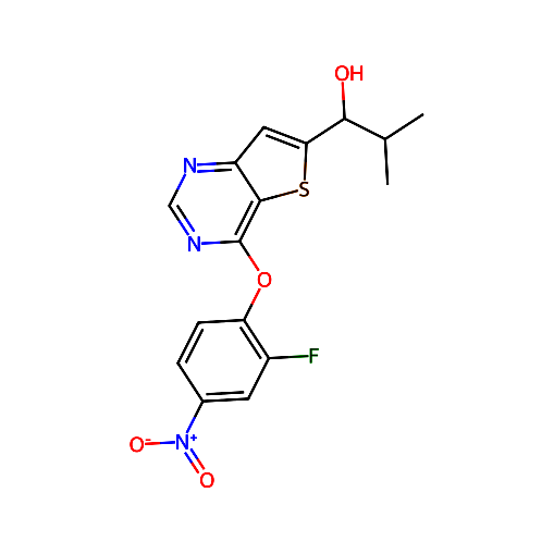 CC(C)C(O)c1cc2ncnc(Oc3ccc([N+](=O)[O-])cc3F)c2s1